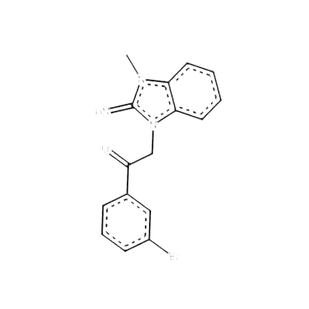 Cn1c(=N)n(CC(=O)c2cccc(Br)c2)c2ccccc21